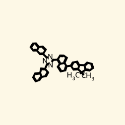 CC1(C)c2ccccc2-c2ccc(-c3cccc4c(-c5nc(-c6ccc7ccccc7c6)nc(-c6ccc7ccccc7c6)n5)cccc34)cc21